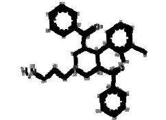 Cc1cccc(C2C(C(=O)c3ccccc3)CN(CCCN)CC2C(=O)c2ccccc2)c1C